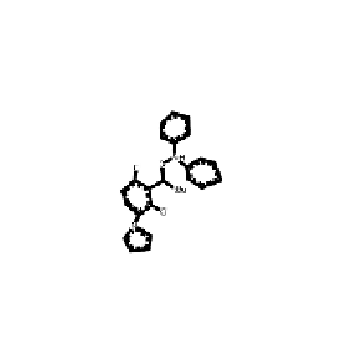 CC(C)(C)C(O[SiH](c1ccccc1)c1ccccc1)c1c(Cl)ccc(-n2cccc2)c1Cl